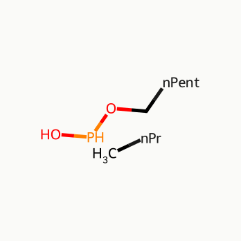 CCCC.CCCCCCOPO